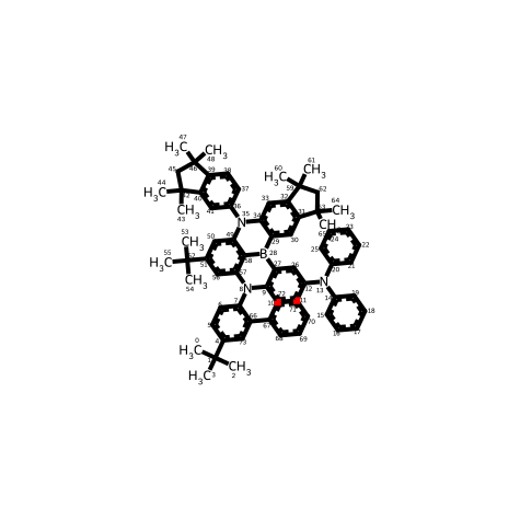 CC(C)(C)c1ccc(N2c3ccc(N(c4ccccc4)c4ccccc4)cc3B3c4cc5c(cc4N(c4ccc6c(c4)C(C)(C)CC6(C)C)c4cc(C(C)(C)C)cc2c43)C(C)(C)CC5(C)C)c(-c2ccccc2)c1